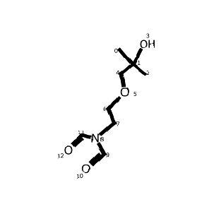 CC(C)(O)COCCN(C=O)C=O